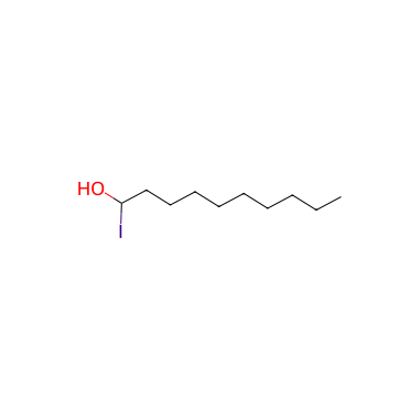 CCCCCCCCCC(O)I